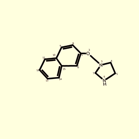 [c]1c(ON2CCNC2)ccc2ccccc12